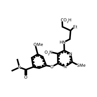 CCC(CNc1nc(SC)nc(Oc2cc(OC)cc(C(=O)N(C)C)c2)c1[N+](=O)[O-])CC(=O)O